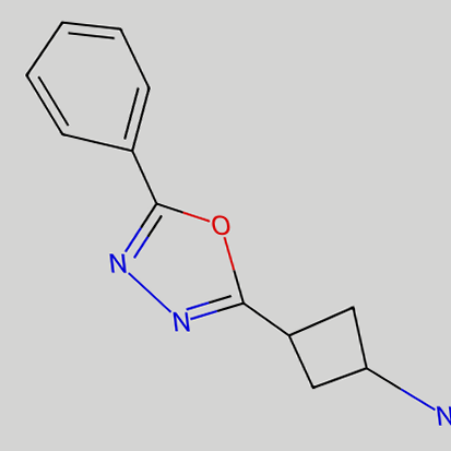 NC1CC(c2nnc(-c3ccccc3)o2)C1